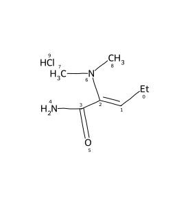 CCC=C(C(N)=O)N(C)C.Cl